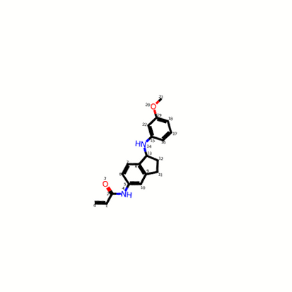 C=CC(=O)Nc1ccc2c(c1)CCC2Nc1cccc(OC)c1